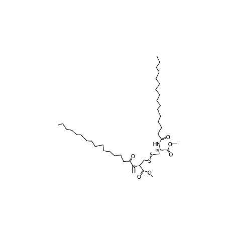 CCCCCCCCCCCCCCCC(=O)NC(CSSC[C@H](NC(=O)CCCCCCCCCCCCCCC)C(=O)OC)C(=O)OC